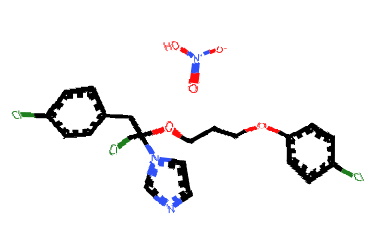 Clc1ccc(CC(Cl)(OCCCOc2ccc(Cl)cc2)n2ccnc2)cc1.O=[N+]([O-])O